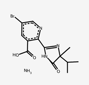 CC(C)C1(C)N=C(c2ncc(Br)cc2C(=O)O)NC1=O.N